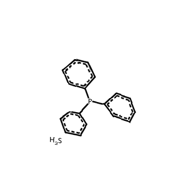 S.c1ccc(P(c2ccccc2)c2ccccc2)cc1